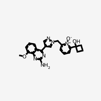 COc1cccc2c(-c3cnn(Cc4cccc(C5(O)CCC5)[n+]4[O-])c3)nc(N)nc12